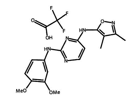 COc1ccc(Nc2nccc(Nc3onc(C)c3C)n2)cc1OC.O=C(O)C(F)(F)F